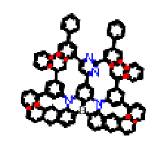 c1ccc(-c2cc(-c3ccccc3)cc(-c3cc(-c4cc5c6c(c4)N(c4cc(-c7ccccc7)cc(-c7ccccc7)c4)c4c(ccc7cc8ccccc8cc47)B6c4ccc6cc7ccccc7cc6c4N5c4cc(-c5ccccc5)cc(-c5ccccc5)c4)nc(-c4cc(-c5ccccc5)cc(-c5ccccc5)c4)n3)c2)cc1